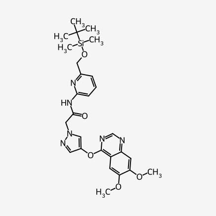 COc1cc2ncnc(Oc3cnn(CC(=O)Nc4cccc(CO[Si](C)(C)C(C)(C)C)n4)c3)c2cc1OC